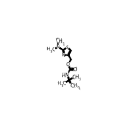 CN(C)c1nc(COC(=O)NC(C)(C)C)cs1